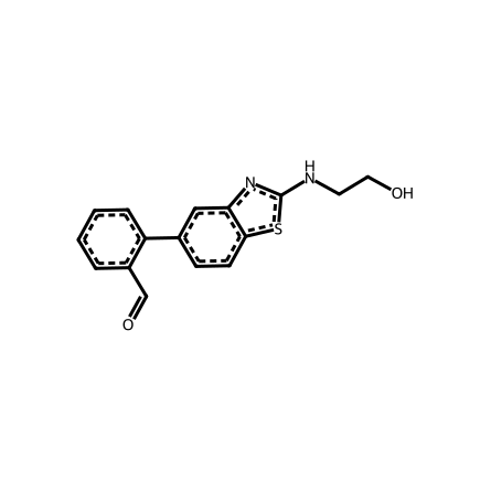 O=Cc1ccccc1-c1ccc2sc(NCCO)nc2c1